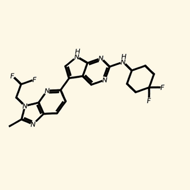 Cc1nc2ccc(-c3c[nH]c4nc(NC5CCC(F)(F)CC5)ncc34)nc2n1CC(F)F